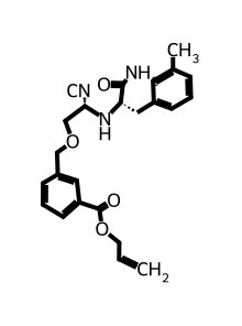 C=CCOC(=O)c1cccc(COC[C@H](C#N)N[C@@H](Cc2cccc(C)c2)C(N)=O)c1